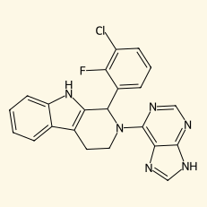 Fc1c(Cl)cccc1C1c2[nH]c3ccccc3c2CCN1c1ncnc2[nH]cnc12